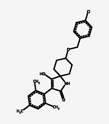 Cc1cc(C)c(C2=C(O)C3(CCC(OCc4ccc(Cl)cc4)CC3)NC2=O)c(C)c1